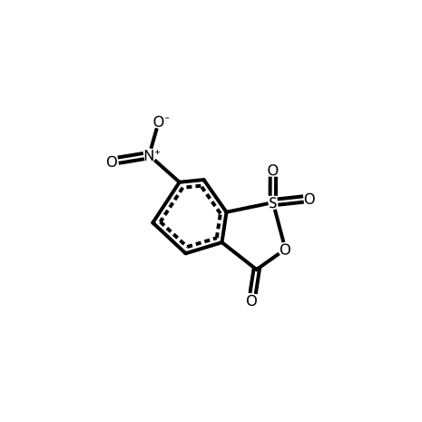 O=C1OS(=O)(=O)c2cc([N+](=O)[O-])ccc21